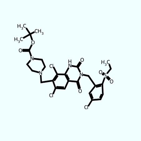 CCS(=O)(=O)c1ccc(Cl)cc1Cn1c(=O)[nH]c2c(Cl)c(CN3CCN(C(=O)OC(C)(C)C)CC3)c(Cl)cc2c1=O